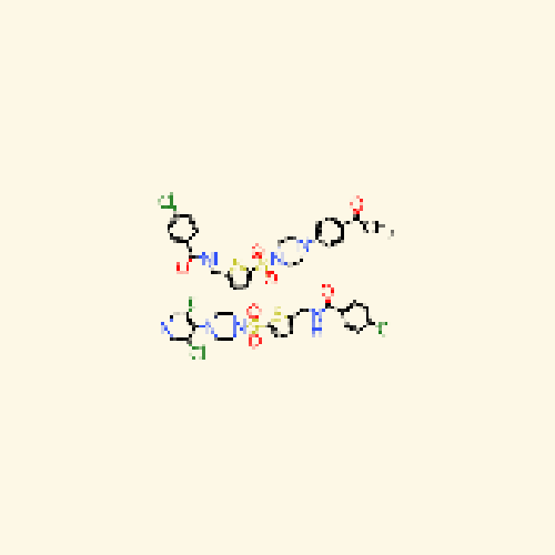 CC(=O)c1ccc(N2CCN(S(=O)(=O)c3ccc(CNC(=O)c4ccc(Cl)cc4)s3)CC2)cc1.O=C(NCc1ccc(S(=O)(=O)N2CCN(c3c(Cl)cncc3Cl)CC2)s1)c1ccc(Cl)cc1